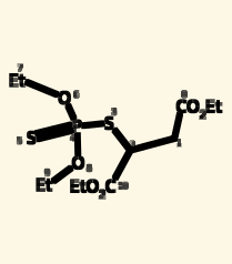 CCOC(=O)CC(SP(=S)(OCC)OCC)C(=O)OCC